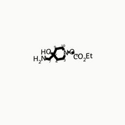 CCOC(=O)ON1CCC(O)(CN)CC1